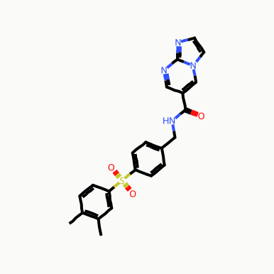 Cc1ccc(S(=O)(=O)c2ccc(CNC(=O)c3cnc4nccn4c3)cc2)cc1C